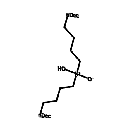 CCCCCCCCCCCCCC[N+]([O-])(O)CCCCCCCCCCCCCC